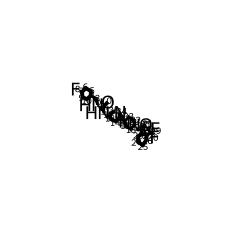 O=C(NCc1ccc(F)cc1)Nc1ccc(N2CCN(C(=O)c3ccccc3C(F)(F)F)CC2)nc1